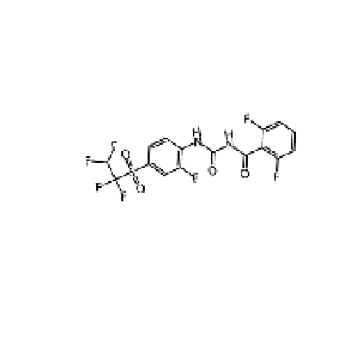 O=C(NC(=O)c1c(F)cccc1F)Nc1ccc(S(=O)(=O)C(F)(F)C(F)F)cc1F